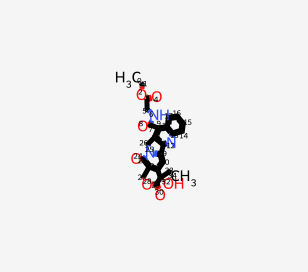 CCOC(=O)CNC(=O)c1c2c(nc3ccccc13)-c1cc3c(c(=O)n1C2)COC(=O)[C@]3(O)CC